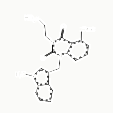 CCCCCc1cccc2c1c(=O)n(CCC(=O)O)c(=O)n2Cc1cn(C)c2ccccc12